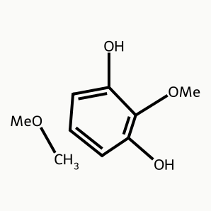 COC.COc1c(O)cccc1O